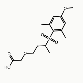 COc1cc(C)c(S(=O)(=O)C(C)CCOCC(=O)O)c(C)c1